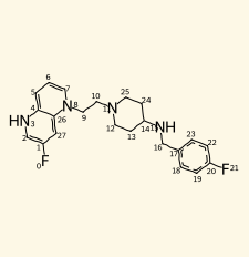 FC1=CNC2=CC=CN(CCN3CCC(NCc4ccc(F)cc4)CC3)C2=C1